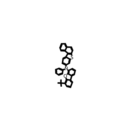 CC(C)(C)c1cccc2c1oc1c(N(c3ccccc3)c3ccc4c(c3)sc3ccc5ccccc5c34)cccc12